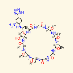 C=C(C[C@@H](C)[C@@H](O)[C@H]1C(=O)N[C@@H](CC)C(=O)N(C)CC(=O)N(C)[C@@H](CC(C)C)C(=O)N[C@@H](C(C)C)C(=O)N(C)[C@@H](CC(C)C)C(=O)N[C@@H](C)C(=O)N[C@H](C)C(=O)N(C)[C@@H](CC(C)C)C(=O)N(C)[C@@H](CC(C)C)C(=O)N(C)[C@@H](C(C)C)C(=O)N1C)Nc1ccc(-c2nnn[nH]2)cc1N